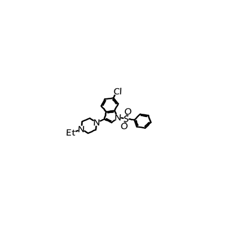 CCN1CCN(c2cn(S(=O)(=O)c3ccccc3)c3cc(Cl)ccc23)CC1